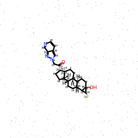 C[C@]12CC[C@@H]3[C@H]4CC[C@]5(O)C(F)C5[C@@H]4CC[C@H]3[C@@H]1CC[C@@H]2C(=O)Cn1cc2ccncc2n1